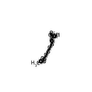 Cc1ccc(S(=O)(=O)OCCOCCOCCOCCOc2ccc(Oc3ccc(Cl)cc3[N+](=O)[O-])cc2)cc1